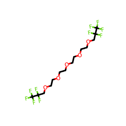 FC(F)(F)C(F)(F)COCCOCCOCCOCCOCC(F)(F)C(F)(F)F